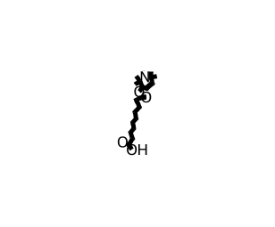 CN1C(C)(C)C=CC(OC(=O)CCCCCCCCC(=O)O)C1(C)C